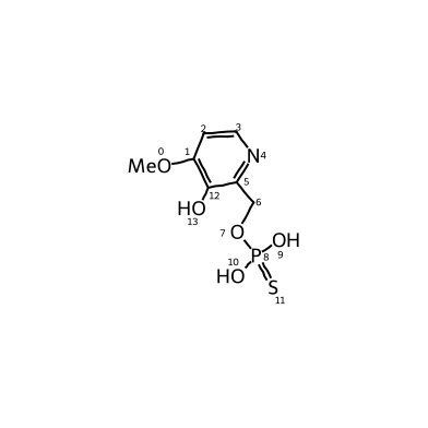 COc1ccnc(COP(O)(O)=S)c1O